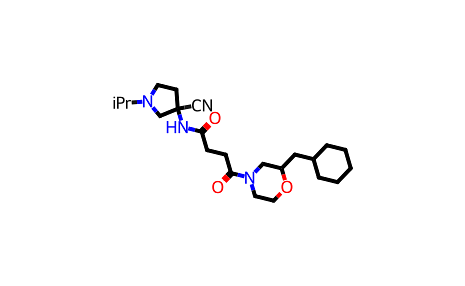 CC(C)N1CCC(C#N)(NC(=O)CCC(=O)N2CCOC(CC3CCCCC3)C2)C1